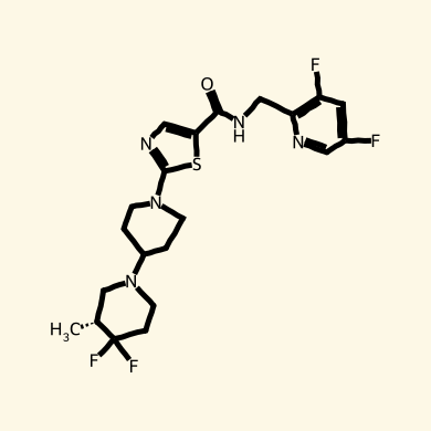 C[C@@H]1CN(C2CCN(c3ncc(C(=O)NCc4ncc(F)cc4F)s3)CC2)CCC1(F)F